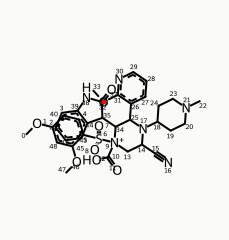 COc1ccc(S(=O)(=O)[N+]2(C(=O)O)CC(C#N)N(C3CCN(C)CC3)C(c3cccnc3OC)C2C2C(=O)Nc3ccccc32)c(OC)c1